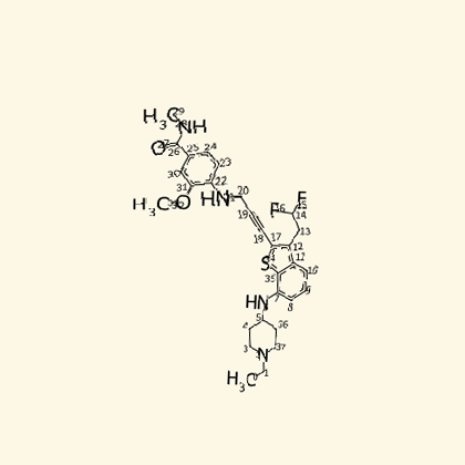 CCN1CCC(Nc2cccc3c(CC(F)F)c(C#CCNc4ccc(C(=O)NC)cc4OC)sc23)CC1